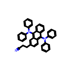 N#CCCc1ccc2c(N(c3ccccc3)c3ccccc3)c3ccccc3c(N(c3ccccc3)c3ccccc3)c2c1